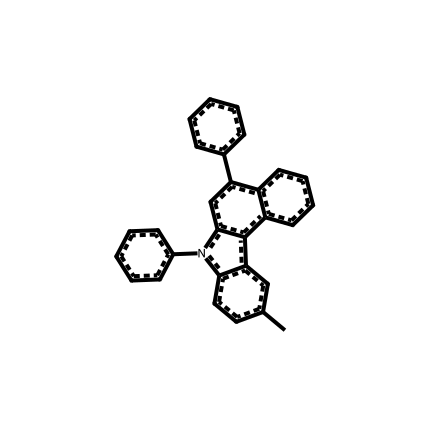 Cc1ccc2c(c1)c1c3ccccc3c(-c3ccccc3)cc1n2-c1ccccc1